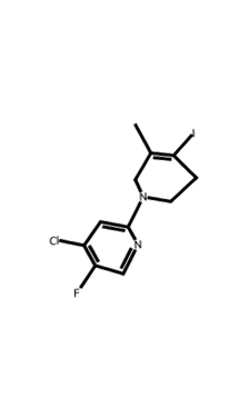 CC1=C(I)CCN(c2cc(Cl)c(F)cn2)C1